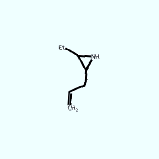 C=CCC1NC1CC